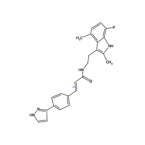 Cc1[nH]c2c(F)ccc(C)c2c1CCNC(=O)/C=C/c1ccc(-c2cc[nH]n2)cc1